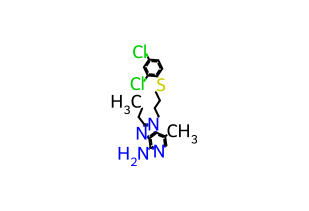 CCCc1nc2c(N)ncc(C)c2n1CCCCSc1ccc(Cl)cc1Cl